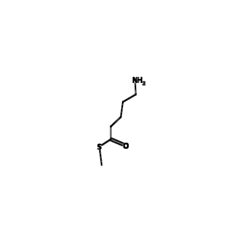 CSC(=O)CCCCN